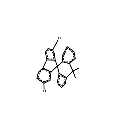 CC1(C)c2ccccc2C2(c3cc(Cl)ccc3-c3ccc(Cl)cc32)c2ccccc21